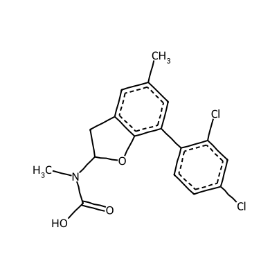 Cc1cc2c(c(-c3ccc(Cl)cc3Cl)c1)OC(N(C)C(=O)O)C2